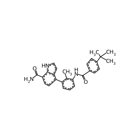 Cc1c(NC(=O)c2ccc(C(C)(C)C)cc2)cccc1-c1ccc(C(N)=O)c2[nH]ccc12